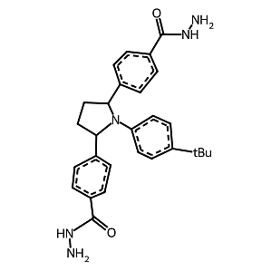 CC(C)(C)c1ccc(N2C(c3ccc(C(=O)NN)cc3)CCC2c2ccc(C(=O)NN)cc2)cc1